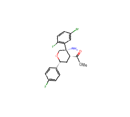 COC(=O)[C@@H]1C[C@H](c2ccc(F)cc2)OC[C@@]1(N)c1cc(Br)ccc1F